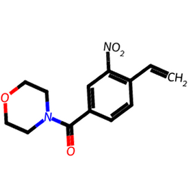 C=Cc1ccc(C(=O)N2CCOCC2)cc1[N+](=O)[O-]